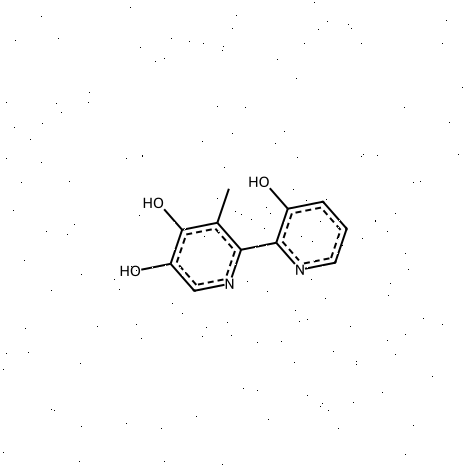 Cc1c(-c2ncccc2O)ncc(O)c1O